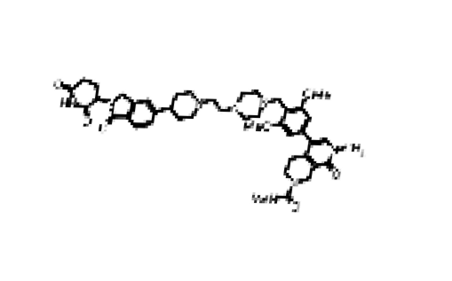 CNC(=O)N1CCc2c(-c3cc(OC)c(CN4CCN(CCN5CCC(c6ccc7c(c6)CN(C6CCC(=O)NC6=O)C7=O)CC5)CC4)c(OC)c3)cn(C)c(=O)c2C1